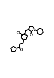 O=C(CCc1ccc(CC2CCN(C3CCCCC3)C2=O)c(Cl)c1)N1CCCC1